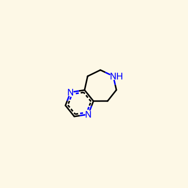 c1cnc2c(n1)CCNCC2